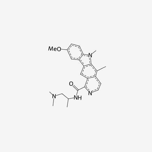 COc1ccc2c(c1)c1cc3c(C(=O)NC(C)CN(C)C)nccc3c(C)c1n2C